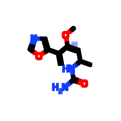 C=C(/C(=C\C(C)NC(N)=O)OC)c1cnco1